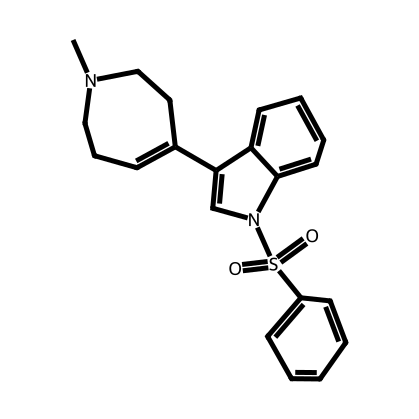 CN1CCC=C(c2cn(S(=O)(=O)c3ccccc3)c3ccccc23)CC1